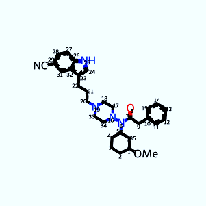 COC1CCCC(N(C(=O)Cc2ccccc2)N2CCN(CCCc3c[nH]c4ccc(C#N)cc34)CC2)C1